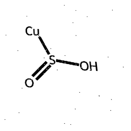 O=[S](O)[Cu]